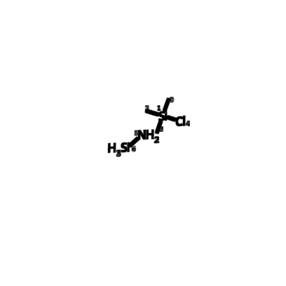 C[Si](C)(C)Cl.N[SiH3]